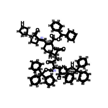 O=C(OC(c1ccccc1)c1ccccc1)C1=C(/C=C2\CCN([C@@H]3CCNC3)C2=O)CC[C@@H]2[C@H](NC(=O)/C(=N\OC(c3ccccc3)(c3ccccc3)c3ccccc3)c3nc(NC(c4ccccc4)(c4ccccc4)c4ccccc4)sc3Cl)C(=O)N12